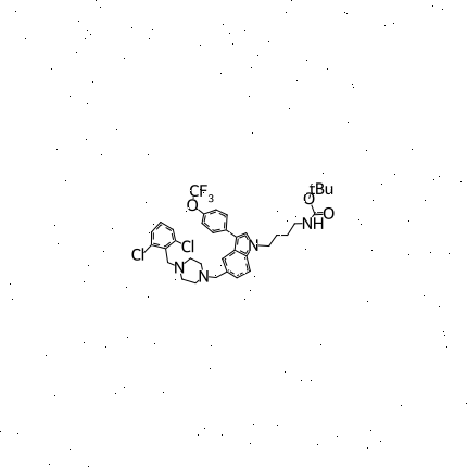 CC(C)(C)OC(=O)NCCCCn1cc(-c2ccc(OC(F)(F)F)cc2)c2cc(CN3CCN(Cc4c(Cl)cccc4Cl)CC3)ccc21